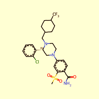 CS(=O)(=O)c1cc(N2CCN(CC3CCC(C(F)(F)F)CC3)[C@@H](c3ccccc3Cl)C2)ccc1C(N)=O